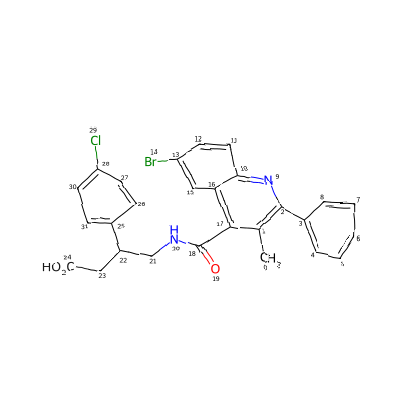 Cc1c(-c2ccccc2)nc2ccc(Br)cc2c1C(=O)NCC(CC(=O)O)c1ccc(Cl)cc1